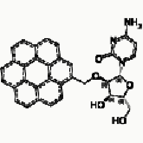 Nc1ccn([C@@H]2O[C@H](CO)[C@@H](O)[C@H]2OCc2cc3ccc4ccc5ccc6ccc7ccc2c2c7c6c5c4c32)c(=O)n1